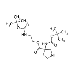 CC(C)(C)OC(=O)NCCOC(=O)C1(NC(=O)OC(C)(C)C)CCNC1